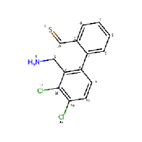 NCc1c(-c2ccccc2C=S)ccc(Cl)c1Cl